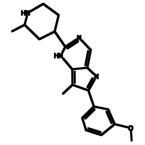 COc1cccc(-c2nc3cnc(C4CCNC(C)C4)[nH]c-3c2C)c1